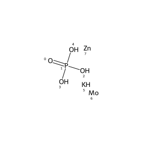 O=P(O)(O)O.[KH].[Mo].[Zn]